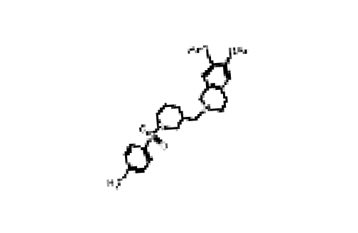 COc1cc2c(cc1OC)CN(CC1CCCN(S(=O)(=O)c3ccc(C)cc3)C1)CC2